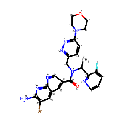 CC(c1ncccc1F)N(Cc1ccc(N2CCOCC2)nn1)C(=O)c1cnc2nc(N)c(Br)cc2c1